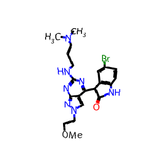 COCCn1cc2c(C3C(=O)Nc4ccc(Br)cc43)nc(NCCCN(C)C)nc2n1